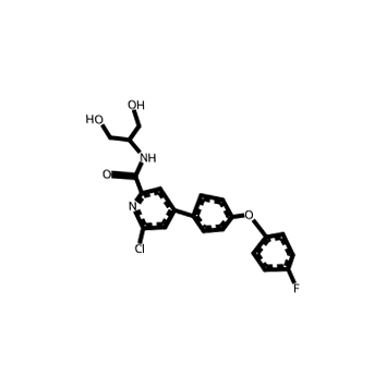 O=C(NC(CO)CO)c1cc(-c2ccc(Oc3ccc(F)cc3)cc2)cc(Cl)n1